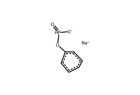 O=[PH]([O-])Oc1ccccc1.[Na+]